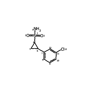 NS(=O)(=O)C1CC1c1cccc(Cl)c1